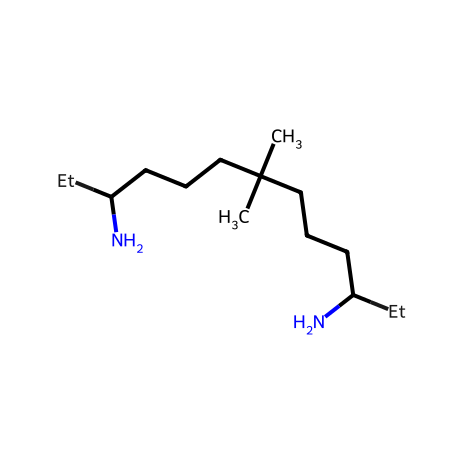 CCC(N)CCCC(C)(C)CCCC(N)CC